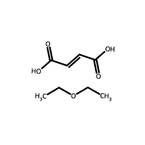 CCOCC.O=C(O)C=CC(=O)O